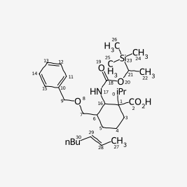 CC(C)C1(C(=O)O)CCCC(COCc2ccccc2)C1NC(=O)OC(C)[Si](C)(C)C.CC=CCCCC